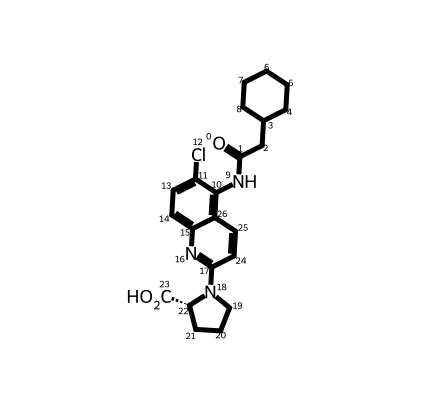 O=C(CC1CCCCC1)Nc1c(Cl)ccc2nc(N3CCC[C@@H]3C(=O)O)ccc12